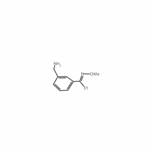 CCC(=NOC)c1cccc(CN)c1